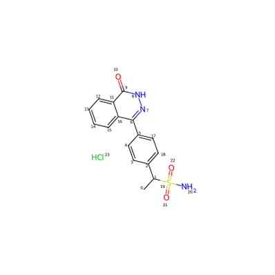 CC(c1ccc(-c2n[nH]c(=O)c3ccccc23)cc1)S(N)(=O)=O.Cl